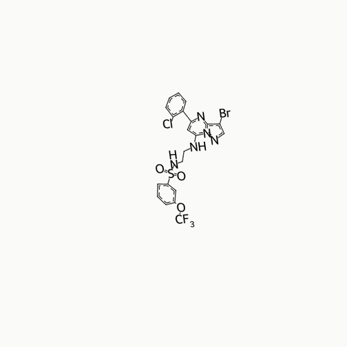 O=S(=O)(NCCNc1cc(-c2ccccc2Cl)nc2c(Br)cnn12)c1cccc(OC(F)(F)F)c1